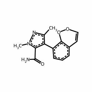 Cc1nn(C)c(C(N)=O)c1-c1cccc2c1OOC=C2